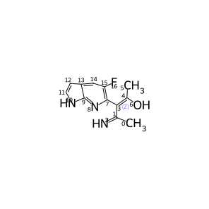 CC(=N)/C(=C(/C)O)c1nc2[nH]ccc2cc1F